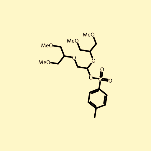 COCC(COC)OCC(OC(COC)COC)OS(=O)(=O)c1ccc(C)cc1